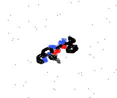 CN1C(=O)C(NC(=O)c2nnc(C3(c4ccccc4)CC3)o2)CCc2cccnc21